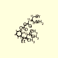 CC[C@@H](c1cccc(OC(=O)OC(=O)C[C@@H](CN)CC(C)C)c1)[C@@H](C)CN(C)C